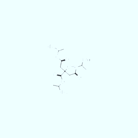 CC(OC(=O)CC(O)(CC(=O)OC(C)C(C)(C)C)C(=O)OC(C)C(C)(C)C)C(C)(C)C